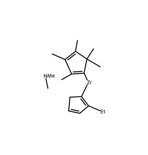 CCC1=[C]([Zr][C]2=C(C)C(C)=C(C)C2(C)C)CC=C1.CNC